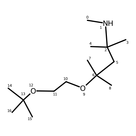 CNC(C)(C)CC(C)(C)OCCOC(C)(C)C